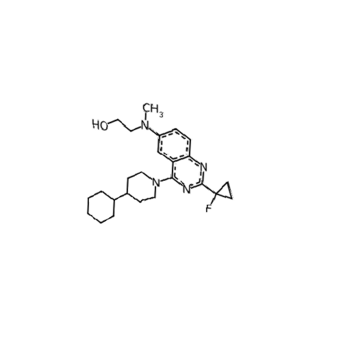 CN(CCO)c1ccc2nc(C3(F)CC3)nc(N3CCC(C4CCCCC4)CC3)c2c1